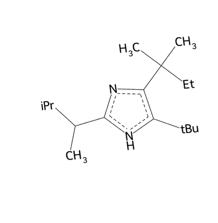 CCC(C)(C)c1nc(C(C)C(C)C)[nH]c1C(C)(C)C